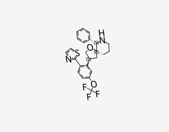 FC(F)(F)Oc1ccc(-c2nccs2)c([C@H]2CO[C@]3(CCCN[C@H]3c3ccccc3)C2)c1